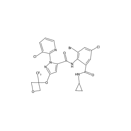 O=C(NC1CC1)c1cc(Cl)cc(Br)c1NC(=O)c1cc(OC2(C(F)(F)F)COC2)nn1-c1ncccc1Cl